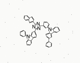 c1ccc(-c2ccc3c(c2)c2ccccc2n3-c2cccc(-c3nc(-c4ccc5ccccc5c4)nc(-c4ccc5c6ccccc6n(-c6ccccc6)c5c4)n3)c2)cc1